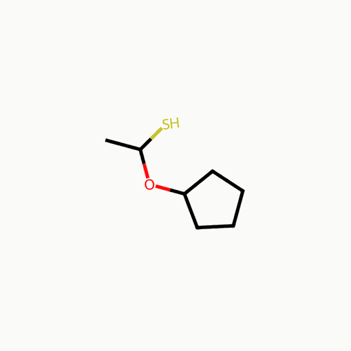 CC(S)OC1CCCC1